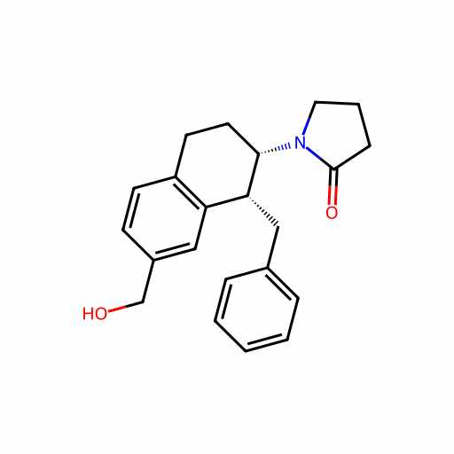 O=C1CCCN1[C@H]1CCc2ccc(CO)cc2[C@H]1Cc1ccccc1